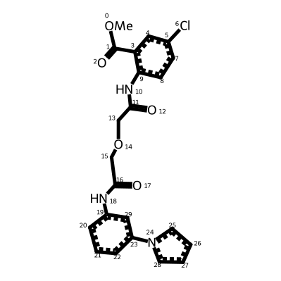 COC(=O)c1cc(Cl)ccc1NC(=O)COCC(=O)Nc1cccc(-n2cccc2)c1